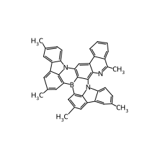 Cc1ccc2c(c1)c1cc(C)cc3c1n2-c1cc2c(nc(C)c4ccccc42)c2c1B3c1cc(C)cc3c4cc(C)ccc4n-2c13